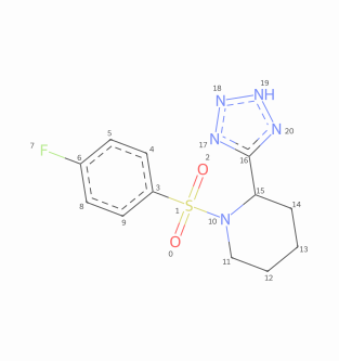 O=S(=O)(c1ccc(F)cc1)N1CCCCC1c1nn[nH]n1